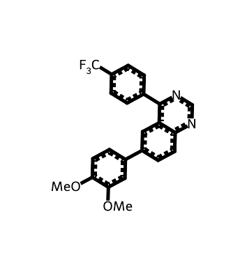 COc1ccc(-c2ccc3ncnc(-c4ccc(C(F)(F)F)cc4)c3c2)cc1OC